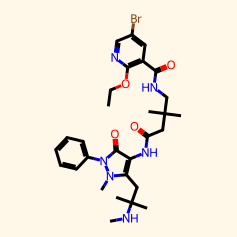 CCOc1ncc(Br)cc1C(=O)NCC(C)(C)CC(=O)Nc1c(CC(C)(C)NC)n(C)n(-c2ccccc2)c1=O